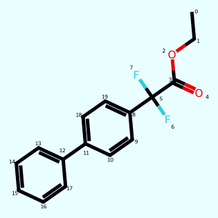 CCOC(=O)C(F)(F)c1ccc(-c2ccccc2)cc1